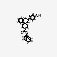 N#Cc1ccc(N2Cc3ccccc3C3(CCN(C(=O)OC4C5CC6CC(C5)CC4C6)CC3)C2)nc1